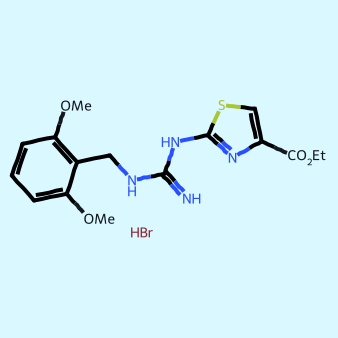 Br.CCOC(=O)c1csc(NC(=N)NCc2c(OC)cccc2OC)n1